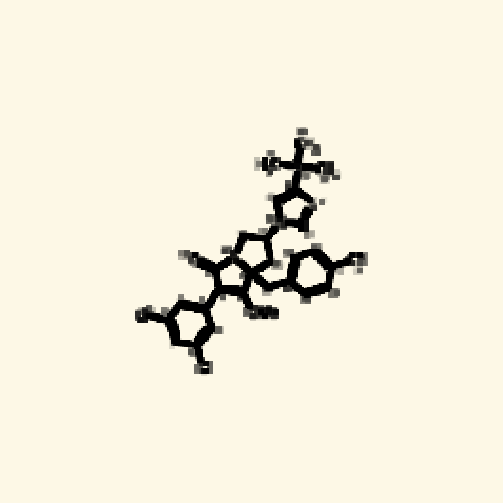 COC1=C(c2cc(Cl)cc(Cl)c2)C(=O)N2C[C@@H](n3cc([Si](C)(C)C)nn3)CC12Cc1ccc(C#N)cc1